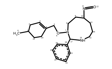 CC1CC=C(CON2CCC(N=O)CCCNC2c2ccccc2)CC1